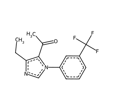 CCc1ncn(-c2cccc(C(F)(F)F)c2)c1C(C)=O